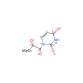 COC(=O)C(=O)n1ccc(=O)[nH]c1=O